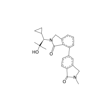 CN1Cc2cc(-c3cccc4c3C(=O)N([C@H](C3CC3)C(C)(C)O)C4)ccc2C1=O